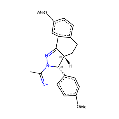 COc1ccc([C@H]2[C@H]3CCc4ccc(OC)cc4C3=NN2C(C)=N)cc1